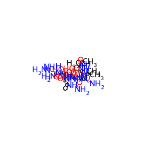 CC[C@H](C)[C@H](NC(=O)[C@H](CCC(=O)O)NC(=O)[C@H](C)NC(C)=O)C(=O)N[C@@H](CCCCN)C(=O)N[C@@H](CCCCN)C(=O)N[C@@H](CO)C(=O)N[C@@H](Cc1c[nH]c2ccccc12)C(=O)N[C@@H](CO)C(=O)N[C@@H](CCCNC(=N)N)C(N)=O